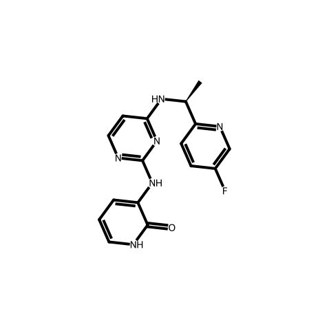 C[C@H](Nc1ccnc(Nc2ccc[nH]c2=O)n1)c1ccc(F)cn1